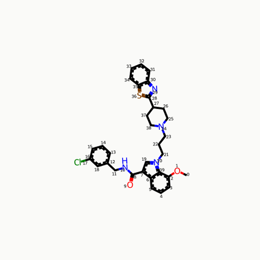 COc1cccc2c(C(=O)NCc3cccc(Cl)c3)cn(CCCN3CCC(c4nc5ccccc5s4)CC3)c12